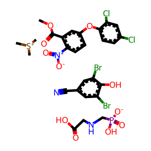 COC(=O)c1cc(Oc2ccc(Cl)cc2Cl)ccc1[N+](=O)[O-].C[S+](C)C.N#Cc1cc(Br)c(O)c(Br)c1.O=C(O)CNCP(=O)([O-])O